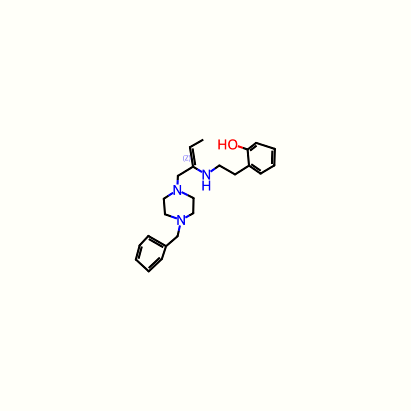 C/C=C(/CN1CCN(Cc2ccccc2)CC1)NCCc1ccccc1O